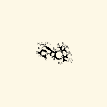 CC(C)[Si]1(C(C)C)OC[C@H]2O[C@@H](n3ccc(=O)[nH]c3=O)[C@@](F)(C#C[Si](C)(C)C)[C@@H]2O[Si](C(C)C)(C(C)C)O1